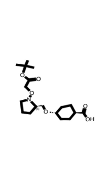 CC(C)(C)OC(=O)CON1CCC[C@H]1CO[C@H]1CC[C@H](C(=O)O)CC1